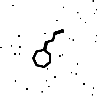 O=[C]CC=C1CCCCCC1